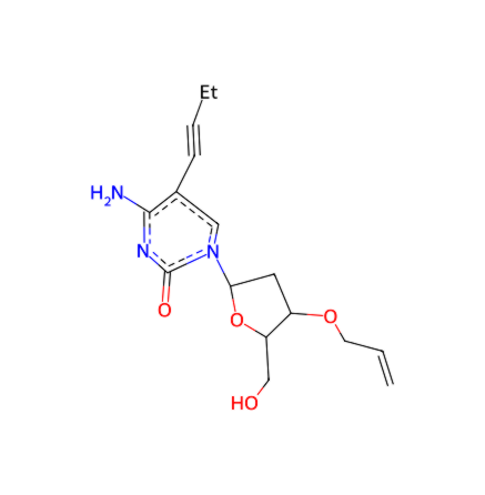 C=CCOC1CC(n2cc(C#CCC)c(N)nc2=O)OC1CO